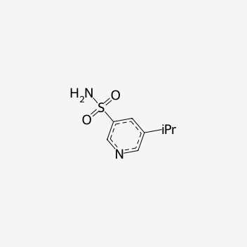 CC(C)c1cncc(S(N)(=O)=O)c1